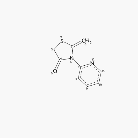 C=C1SCC(=O)N1c1ccccn1